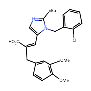 CCCCc1ncc(C=C(Cc2ccc(OC)c(OC)c2)C(=O)O)n1Cc1ccccc1Cl